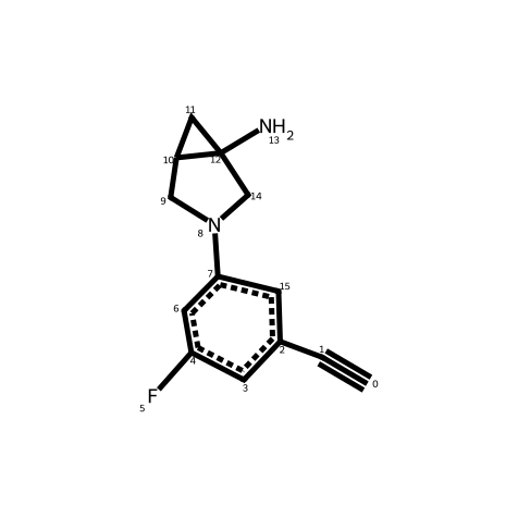 C#Cc1cc(F)cc(N2CC3CC3(N)C2)c1